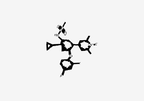 Cc1cc(-c2cc(NS(C)(=O)=O)c(C3CC3)cc2Oc2ccc(F)cc2F)cc(C)[n+]1[O-]